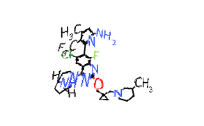 Cc1cc(N)nc(-c2c(Cl)cc3c(N4CC[C@H]5CC[C@@H](C4)N5)nc(OCC4(CN5CCCC(C)C5)CC4)nc3c2F)c1C(F)(F)F